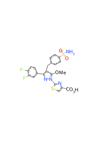 COc1c(Cc2ccc(S(N)(=O)=O)cc2)c(-c2ccc(F)c(F)c2)nn1-c1nc(C(=O)O)cs1